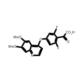 COc1cc2nccc(Oc3cc(F)c(C(=O)C(=O)O)c(F)c3)c2cc1OC